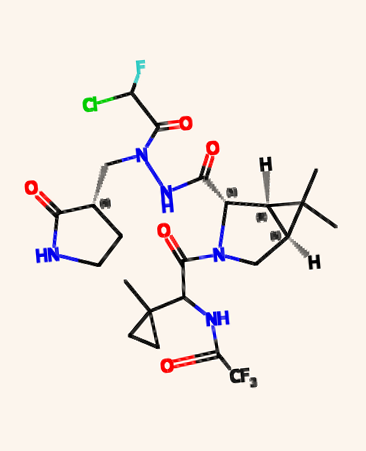 CC1(C(NC(=O)C(F)(F)F)C(=O)N2C[C@H]3[C@@H]([C@H]2C(=O)NN(C[C@@H]2CCNC2=O)C(=O)C(F)Cl)C3(C)C)CC1